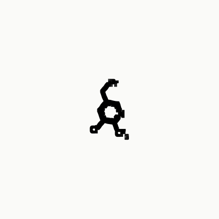 CC(C)Cc1cnc(C(F)(F)F)c(Cl)c1